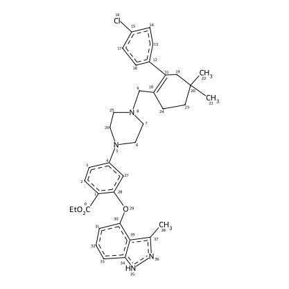 CCOC(=O)c1ccc(N2CCN(CC3=C(c4ccc(Cl)cc4)CC(C)(C)CC3)CC2)cc1Oc1cccc2[nH]nc(C)c12